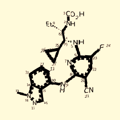 CC[C@H](NC(=O)O)[C@H](Nc1nc(Nc2cccc3c2cnn3C)c(C#N)cc1F)C1CC1